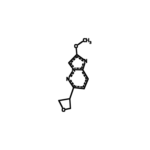 COc1cn2nc(C3COC3)ccc2n1